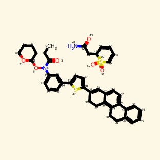 CCC(=O)N(OC1CCCCO1)c1cccc(-c2ccc(C3=Cc4ccc5c(c4CC3)CCc3ccccc3-5)s2)c1.NC(=O)CC1C=CC=CS1(=O)=O